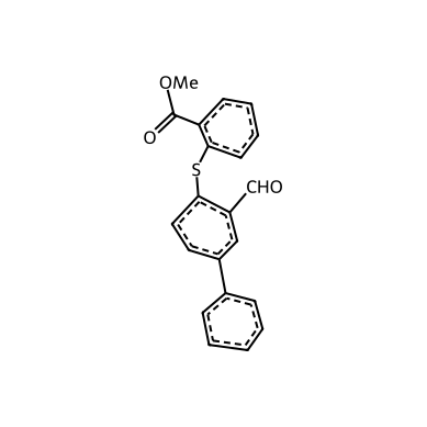 COC(=O)c1ccccc1Sc1ccc(-c2ccccc2)cc1C=O